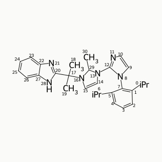 CC(C)c1cccc(C(C)C)c1-n1ccnc1N1C=CN(C(C)(C)c2nc3ccccc3[nH]2)C1C